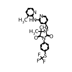 Cc1cccnc1Nc1cc(CN2C(=O)N(c3ccc(SC(F)(F)F)cc3)C(=O)C2(C)C)ccn1